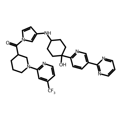 O=C(C1CCCN(c2cc(C(F)(F)F)ccn2)C1)n1ccc(NC2CCC(O)(c3ccc(-c4ncccn4)cn3)CC2)c1